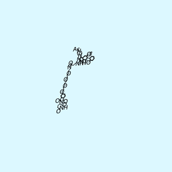 CC(=O)N1CCN(c2nc(NCCC(=O)N(C)CCOCCOCCOCCOc3ccc4c(c3)C(=O)N(C3CCC(=O)NC3=O)C4=O)nc3c(F)c(-c4c(O)cccc4F)c(Cl)cc23)CC1